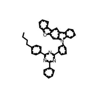 CCCCc1ccc(-c2nc(-c3ccccc3)nc(-c3cccc(-n4c5ccccc5c5cc6c(cc54)oc4ccccc46)c3)n2)cc1